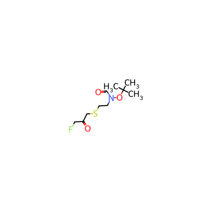 CC(C)(C)ON(C=O)CCSCC(=O)CF